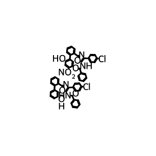 O=C(Nc1oc(-c2ccccc2-c2ccc([N+](=O)[O-])cc2O)nc1-c1ccc(Cl)cc1)c1ccccc1.O=C(Nc1oc(-c2ccccc2-c2cccc(O)c2)nc1-c1ccc(Cl)cc1)c1ccccc1